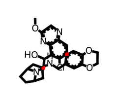 COc1cnc2ccc(Cl)c(C(O)CN3C4CCC3CC(NCc3ccc5c(c3)OCCO5)C4)c2n1